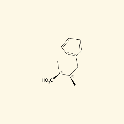 C[C@H](Cc1ccccc1)[C@H](C)C(=O)O